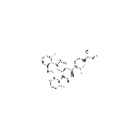 Bc1cccc(C)c1-c1cc(N(C=C)c2c(C)ccnc2C)c(/C(=N\C)N2CCN(C(=O)C=C)CC2C)cn1